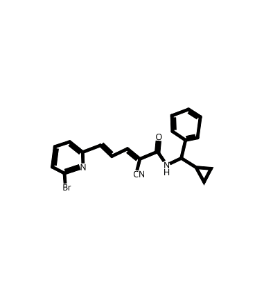 N#C/C(=C\C=C\c1cccc(Br)n1)C(=O)NC(c1ccccc1)C1CC1